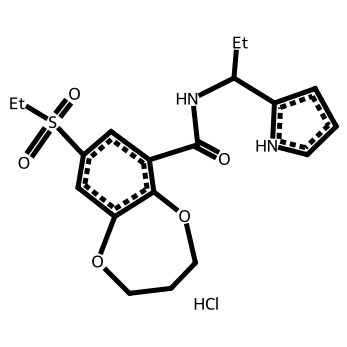 CCC(NC(=O)c1cc(S(=O)(=O)CC)cc2c1OCCCO2)c1ccc[nH]1.Cl